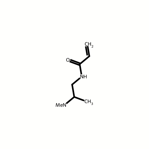 C=CC(=O)NCC(C)NC